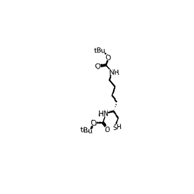 CC(C)(C)OC(=O)NCCCC[C@H](CS)NC(=O)OC(C)(C)C